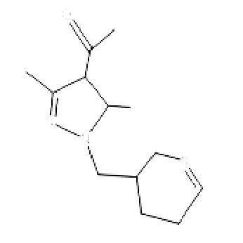 CC(=O)C1C(C)=NN(CC2CCC=NC2)C1C